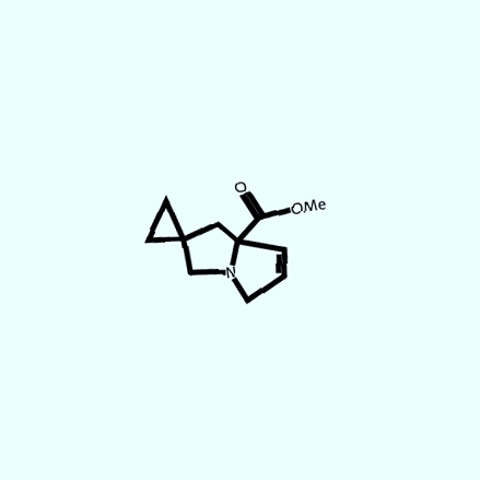 COC(=O)C12C=CCN1CC1(CC1)C2